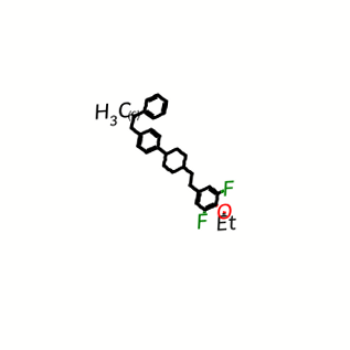 CCOc1c(F)cc(CCC2CCC(c3ccc(C[C@H](C)c4ccccc4)cc3)CC2)cc1F